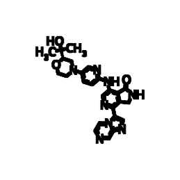 CC(C)(O)[C@H]1CN(c2ccc(Nc3cnc(-c4cnc5cnccn45)c4c3C(=O)NC4)nc2)CCO1